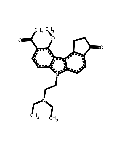 CCN(CC)CCn1c2ccc3c(c2c2c(OC)c(C(C)=O)ccc21)CCC3=O